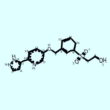 O=S(=O)(CCO)C1C=C(COc2ccc(-c3ccn[nH]3)nc2)C=CC1